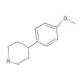 COc1ccc(C2CC[N]CC2)cc1